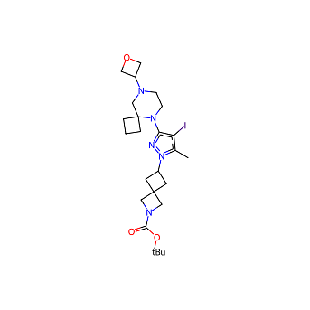 Cc1c(I)c(N2CCN(C3COC3)CC23CCC3)nn1C1CC2(C1)CN(C(=O)OC(C)(C)C)C2